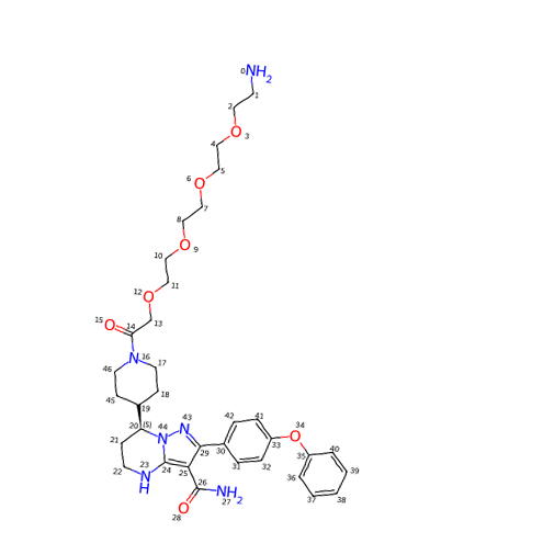 NCCOCCOCCOCCOCC(=O)N1CCC([C@@H]2CCNc3c(C(N)=O)c(-c4ccc(Oc5ccccc5)cc4)nn32)CC1